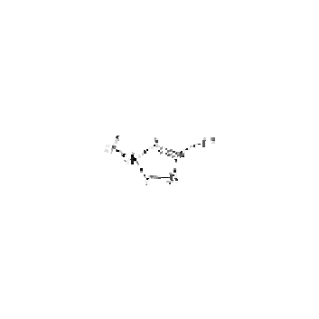 CCn1cnc(I)c1